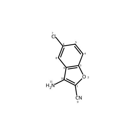 N#Cc1oc2ccc(Cl)cc2c1N